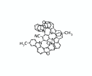 Cc1ccc2c(c1)c1ccc3oc4ccccc4c3c1n2-c1c(C#N)c(-n2c3ccccc3c3ccccc32)c(-n2c3ccc(C)cc3c3ccc4oc5ccccc5c4c32)c(-n2c3ccccc3c3ccccc32)c1C#N